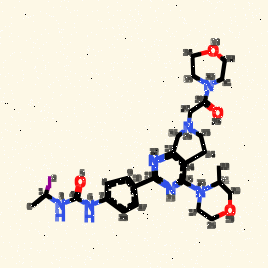 CC(I)NC(=O)Nc1ccc(-c2nc3c(c(N4CCOCC4C)n2)CCN(CC(=O)N2CCOCC2)C3)cc1